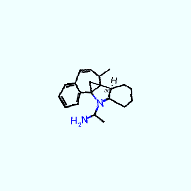 CC(N)N1C2CCCC[C@@H]2C23CC12c1ccccc1C=CC3C